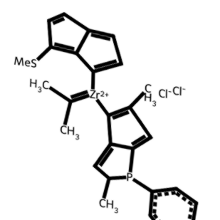 CSC1=C2C(=CC=[C]2[Zr+2]([C]2=C(C)C=C3C2=CC(C)P3c2ccccc2)=[C](C)C)C=C1.[Cl-].[Cl-]